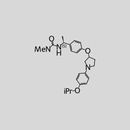 CNC(=O)N[C@@H](C)c1ccc(OC2CCN(c3ccc(OC(C)C)cc3)C2)cc1